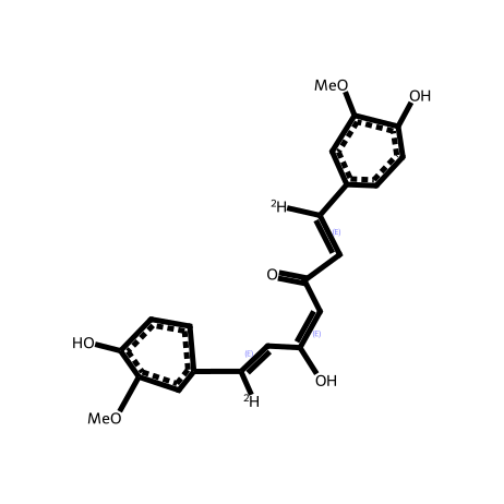 [2H]/C(=C\C(=O)/C=C(O)\C=C(/[2H])c1ccc(O)c(OC)c1)c1ccc(O)c(OC)c1